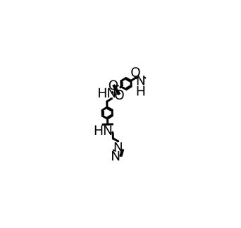 CNC(=O)c1ccc(S(=O)(=O)NCCc2ccc(C(C)(C)NCCCn3ccnc3)cc2)cc1